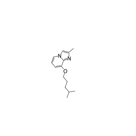 Cc1cn2cccc(OCCCC(C)C)c2n1